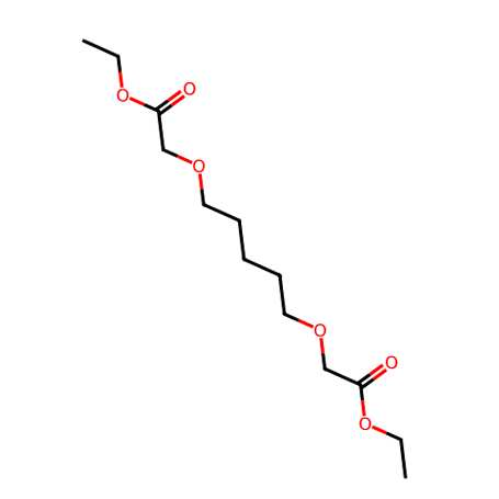 CCOC(=O)COCCCCCOCC(=O)OCC